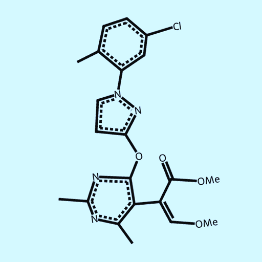 COC=C(C(=O)OC)c1c(C)nc(C)nc1Oc1ccn(-c2cc(Cl)ccc2C)n1